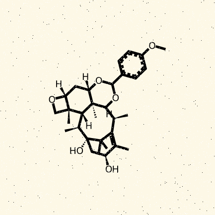 COc1ccc(C2O[C@H]3C[C@H]4OC[C@@]4(C)[C@H]4[C@H](C)[C@]5(O)C[C@H](O)C(C)=C([C@H](C)[C@H](O2)[C@]34C)C5(C)C)cc1